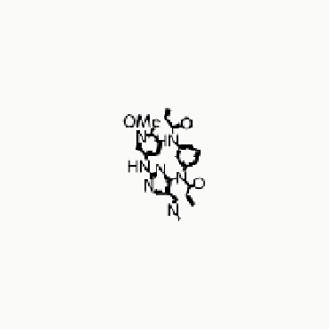 C=CC(=O)Nc1cccc(N(C(=O)C=C)c2nc(Nc3ccc(OC)nc3)ncc2/C=N/C)c1